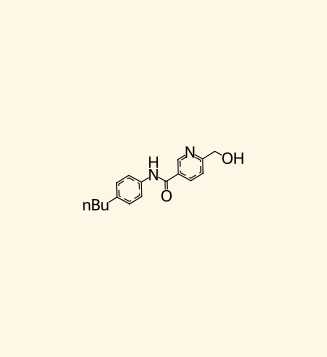 CCCCc1ccc(NC(=O)c2ccc(CO)nc2)cc1